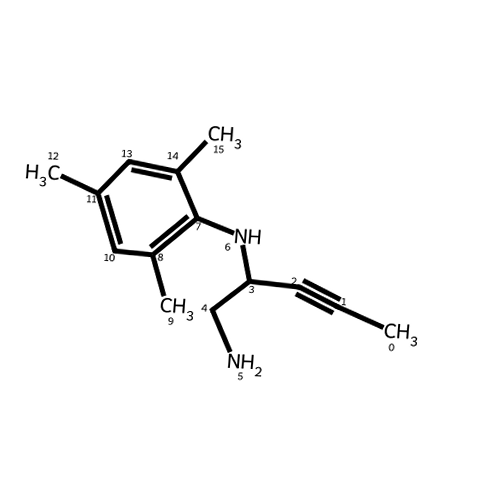 CC#CC(CN)Nc1c(C)cc(C)cc1C